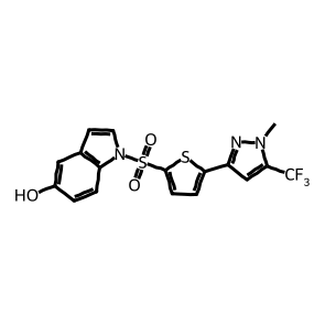 Cn1nc(-c2ccc(S(=O)(=O)n3ccc4cc(O)ccc43)s2)cc1C(F)(F)F